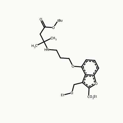 CCOCc1c(C(=O)OCC)oc2cccc(OCCCNC(C)(C)CC(=O)OC(C)(C)C)c12